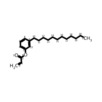 C=CC(=O)Oc1cccc(CCCCCCCCCCCC)c1